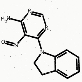 Nc1ncnc(N2CCc3ccccc32)c1N=O